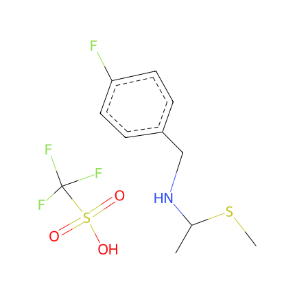 CSC(C)NCc1ccc(F)cc1.O=S(=O)(O)C(F)(F)F